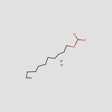 CCCCCCCCCCCCCCCCCCOB([O-])[O-].[K+].[K+]